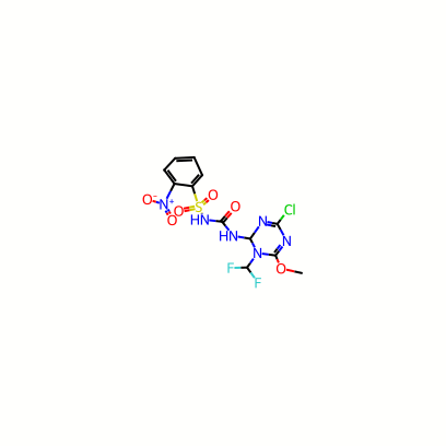 COC1=NC(Cl)=NC(NC(=O)NS(=O)(=O)c2ccccc2[N+](=O)[O-])N1C(F)F